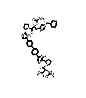 COC(=O)N[C@H](C(=O)N1CCCC1c1ncc(-c2ccc(-c3ccc(-c4cnc([C@@H]5CCCN5C(=O)[C@](C)(Cc5cn(Cc6ccccc6)cn5)OC(N)=O)[nH]4)cc3)cc2)[nH]1)[C@@H](C)OC